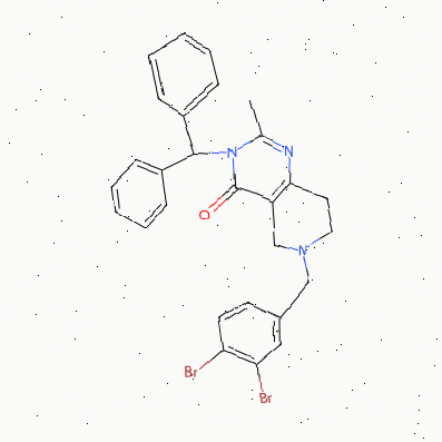 Cc1nc2c(c(=O)n1C(c1ccccc1)c1ccccc1)CN(Cc1ccc(Br)c(Br)c1)CC2